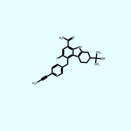 CC#Cc1ccc(Cc2c(F)cc(C(N)=O)c3[nH]c4c(c23)CCC(C(C)(C)O)C4)cn1